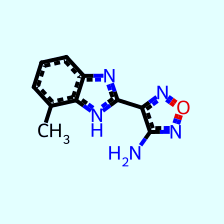 Cc1cccc2nc(-c3nonc3N)[nH]c12